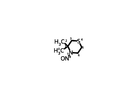 CC1(C)CSCCN1N=O